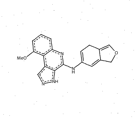 COc1cccc2nc(NC3=CCC4=COCC4=C3)c3[nH]ncc3c12